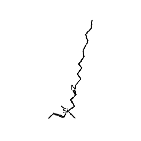 CC=C[Si](C)(C)CCC=NCCCCCCCCCC